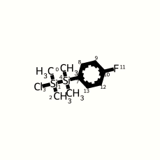 C[Si](C)(Cl)[Si](C)(C)c1ccc(F)cc1